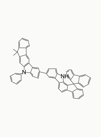 CC1(C)c2ccccc2-c2cc3c4cc(-c5ccc6[nH]c7c8c(ccc7c6c5)-c5ccccc5C85c6ccccc6-c6ccccc65)ccc4n(-c4ccccc4)c3cc21